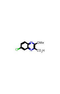 COc1nc2ccc(Cl)cc2nc1C(=O)O